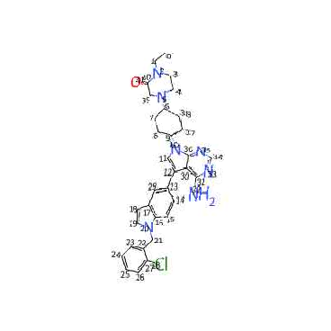 CCN1CCN([C@H]2CC[C@@H](n3cc(-c4ccc5c(ccn5Cc5ccccc5Cl)c4)c4c(N)ncnc43)CC2)CC1=O